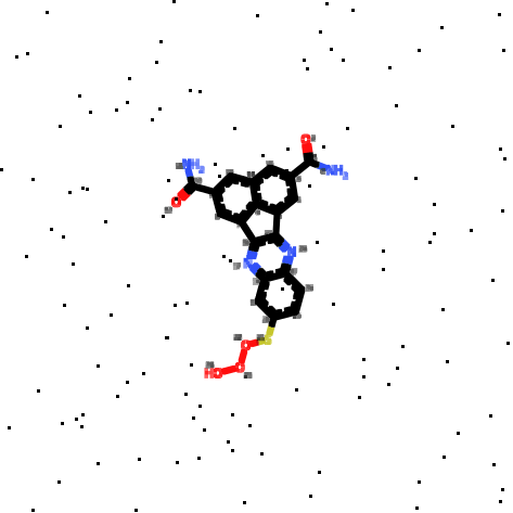 NC(=O)c1cc2c3c(cc(C(N)=O)cc3c1)-c1nc3cc(SOOO)ccc3nc1-2